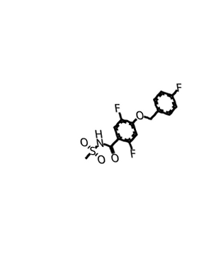 CS(=O)(=O)NC(=O)c1cc(F)c(OCc2ccc(F)cc2)cc1F